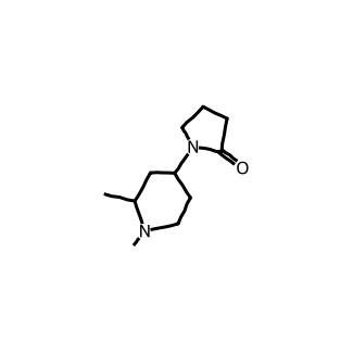 CC1CC(N2CCCC2=O)CCN1C